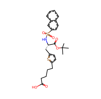 CC(C)(C)OC(=O)[C@H](Cc1ccc(CCCCC(=O)O)s1)NS(=O)(=O)c1ccc2ccccc2c1